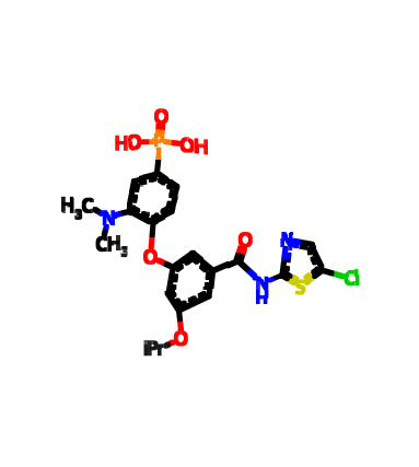 CC(C)Oc1cc(Oc2ccc(P(=O)(O)O)cc2N(C)C)cc(C(=O)Nc2ncc(Cl)s2)c1